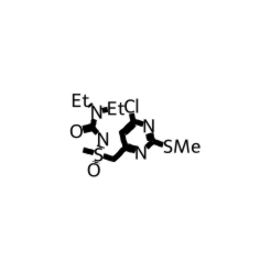 CCN(CC)C(=O)N=S(C)(=O)Cc1cc(Cl)nc(SC)n1